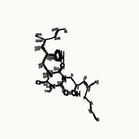 CCCCC(C)CC(O)Cn1c(=O)n(C)c(=O)n(CC(O)CC(C)CCC)c1=O